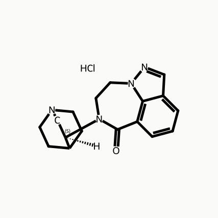 Cl.O=C1c2cccc3cnn(c23)CCN1[C@@H]1CN2CCC1CC2